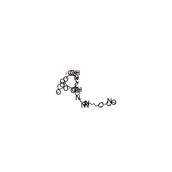 CC[C@H]1OC(=O)[C@H](C)[C@@H](O[C@H]2C[C@@](C)(OC)C[C@H](C)O2)[C@H](C)[C@@H](O[C@H]2C[C@@H](N(C)CCc3cn(CCCCc4ccc(-c5ccc(OC)nc5)cc4)nn3)C[C@@H](C)O2)[C@](C)(O)C[C@@H](C)CN(C)[C@H](C)[C@@H](O)[C@]1(C)O